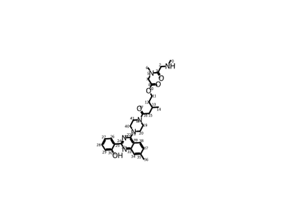 CNCC(=O)N(C)CC(=O)OCCC(C)CC(=O)N1CCN(c2nc(-c3ccccc3O)nc3cc(C)ccc23)CC1